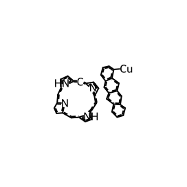 C1=Cc2cc3ccc(cc4nc(cc5ccc(cc1n2)[nH]5)C=C4)[nH]3.[Cu][c]1cccc2cc3cc4ccccc4cc3cc12